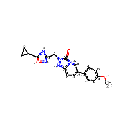 O=c1n(Cc2noc(C3CC3)n2)nc2ccc(-c3ccc(OC(F)(F)F)cc3)cn12